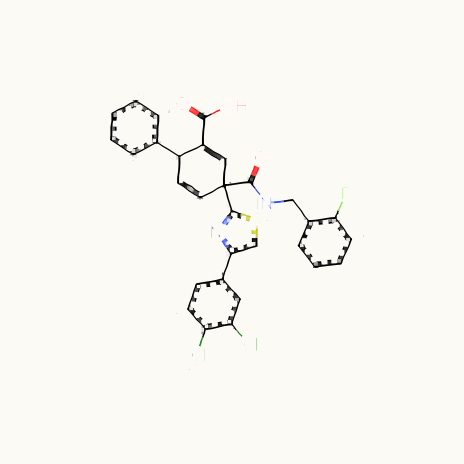 O=C(O)C1=CC(C(=O)NCc2ccccc2F)(c2nc(-c3ccc(Cl)c(Cl)c3)cs2)C=CC1c1ccccc1